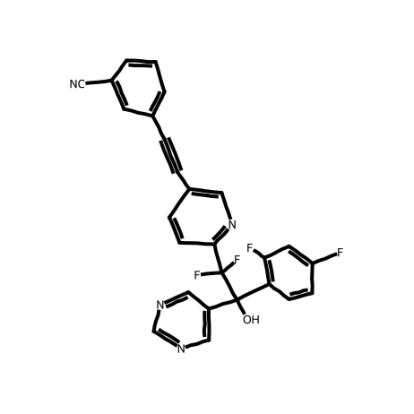 N#Cc1cccc(C#Cc2ccc(C(F)(F)C(O)(c3cncnc3)c3ccc(F)cc3F)nc2)c1